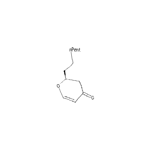 CCCCCCC[C@H]1CC(=O)C=CO1